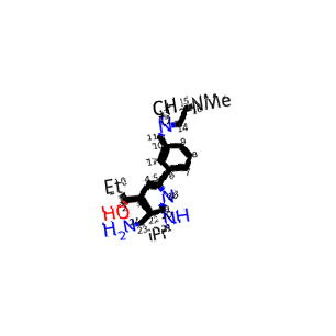 CCC(O)c1cc(-c2cccc(CN(C)CCNC)c2)nc(NC(C)C)c1CN